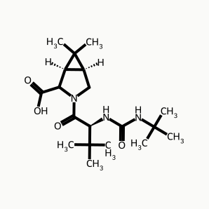 CC(C)(C)NC(=O)N[C@H](C(=O)N1C[C@H]2[C@@H](C1C(=O)O)C2(C)C)C(C)(C)C